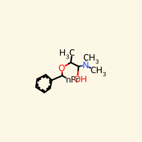 CCCC(OC(C)C(O)N(C)C)c1ccccc1